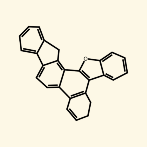 C1=Cc2c(c3c4ccccc4oc3c3c4c(ccc23)-c2ccccc2C4)CC1